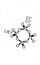 O=P1([O-])OP(=O)([O-])OP(=O)([O-])OP(=O)([O-])O1.[Cs+].[Cs+].[Cs+].[Cs+]